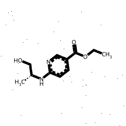 CCOC(=O)c1ccc(N[C@H](C)CO)nc1